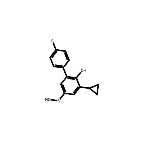 N#CSc1cc(-c2ccc(F)cc2)c(O)c(C2CC2)c1